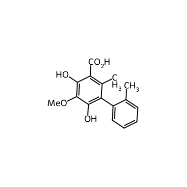 COc1c(O)c(C(=O)O)c(C)c(-c2ccccc2C)c1O